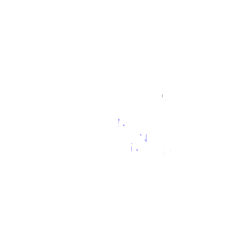 O=C1c2ccccc2-c2nc(-c3ccccc3)nn21